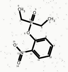 CCP(=O)(CC)Oc1ccccc1[N+](=O)[O-]